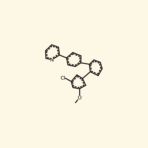 COc1cc(Cl)cc(-c2ccccc2-c2ccc(-c3ccccn3)cc2)c1